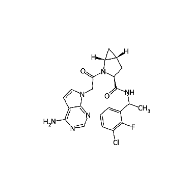 CC(NC(=O)[C@@H]1C[C@H]2C[C@H]2N1C(=O)Cn1ccc2c(N)ncnc21)c1cccc(Cl)c1F